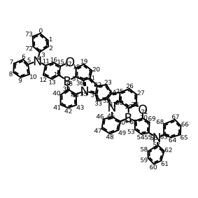 c1ccc(N(c2ccccc2)c2ccc3c(c2)Oc2ccc4c5cc6c7ccc8c9c7n(c6cc5n5c4c2B3c2ccccc2-5)-c2ccccc2B9c2ccc(N(c3ccccc3)c3ccccc3)cc2O8)cc1